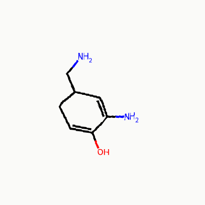 NCC1C=C(N)C(O)=CC1